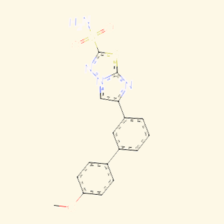 COc1ccc(-c2cccc(-c3cn4nc(S(N)(=O)=O)sc4n3)c2)cc1